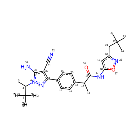 [2H]C([2H])([2H])C(C)n1nc(-c2ccc(C(C)C(=O)Nc3cc(CC(C)(C)C)no3)cc2)c(C#N)c1N